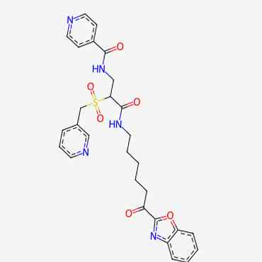 O=C(NCC(C(=O)NCCCCCC(=O)c1nc2ccccc2o1)S(=O)(=O)Cc1cccnc1)c1ccncc1